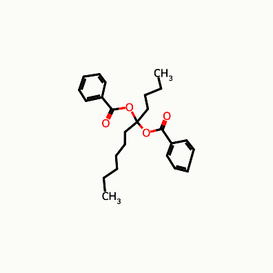 CCCCCCC(CCCC)(OC(=O)c1ccccc1)OC(=O)c1ccccc1